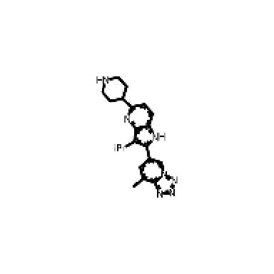 Cc1cc(-c2[nH]c3ccc(C4CCNCC4)nc3c2C(C)C)cn2nnnc12